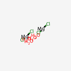 O.O.O.O.[Cl][Mg][Cl].[Cl][Mg][Cl]